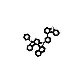 c1ccc(-n2c3ccccc3c3c4c5c6ccccc6ccc5n(-c5cccc(-c6cccc7oc8ccccc8c67)c5)c4ccc32)cc1